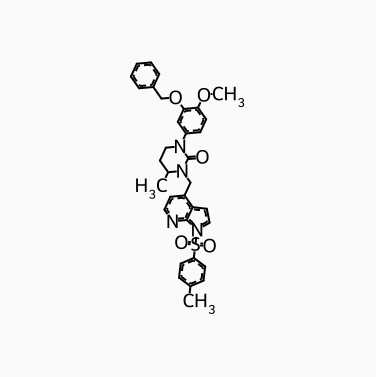 COc1ccc(N2CCC(C)N(Cc3ccnc4c3ccn4S(=O)(=O)c3ccc(C)cc3)C2=O)cc1OCc1ccccc1